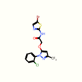 O=C(COc1cc(C(F)(F)F)nn1-c1ccccc1Cl)Nc1ncc(Br)s1